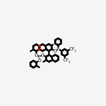 Cc1ccccc1OP(Oc1ccccc1C)Oc1c(C)cc2ccccc2c1-c1c(OP(c2ccccc2)c2cc(C(F)(F)F)cc(C(F)(F)F)c2)c(C)cc2ccccc12